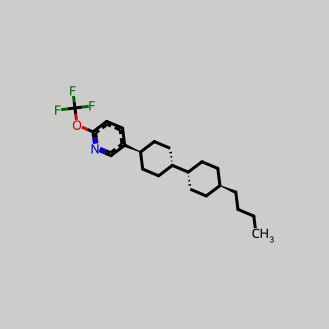 CCCC[C@H]1CC[C@H]([C@H]2CC[C@H](c3ccc(OC(F)(F)F)nc3)CC2)CC1